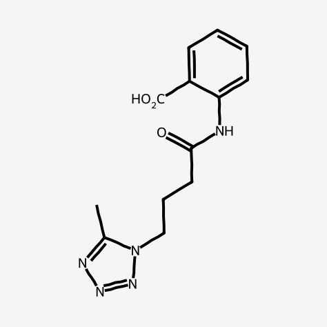 Cc1nnnn1CCCC(=O)Nc1ccccc1C(=O)O